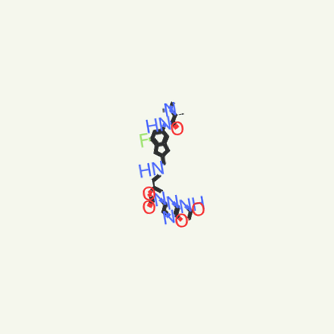 C[C@H](C(=O)Nc1cc(F)c2c(c1)CC(CNCC[C@H]1CN(c3cnc4c(n3)NC(=O)CO4)C(=O)O1)C2)N(C)C